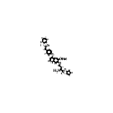 COc1cc2c(Oc3ccc(CC(=O)Nc4ccccc4)cc3)ccnc2cc1OCCC(N)C(=O)OC1CCCC1